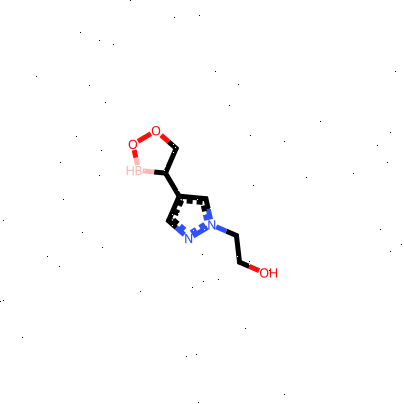 OCCn1cc(C2BOOC2)cn1